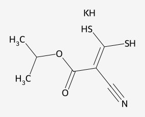 CC(C)OC(=O)C(C#N)=C(S)S.[KH]